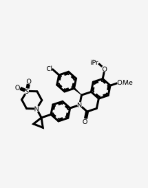 COc1cc2c(cc1OC(C)C)[C@H](c1ccc(Cl)cc1)N(c1ccc(C3(N4CCS(=O)(=O)CC4)CC3)cc1)C(=O)C2